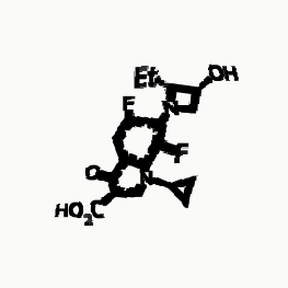 CC[C@@H]1[C@@H](O)CN1c1c(F)cc2c(=O)c(C(=O)O)cn(C3CC3)c2c1F